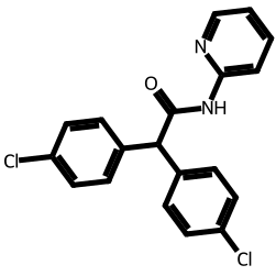 O=C(Nc1ccccn1)C(c1ccc(Cl)cc1)c1ccc(Cl)cc1